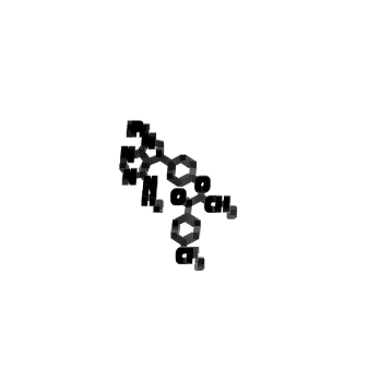 CC(Oc1ccc(-c2cn(C(C)C)c3ncnc(N)c23)cc1)C(=O)c1ccc(C(F)(F)F)cc1